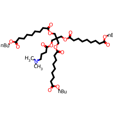 CCCCOC(=O)CCCCCCCC(=O)OCC(COC(=O)CCCCCCCC(=O)OCCCC)(COC(=O)CCCCCCCC(=O)OCCCC)COC(=O)CCCN(C)C